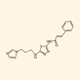 O=C(C=Cc1ccccc1)Nc1nnc(NCCCn2ccnc2)s1